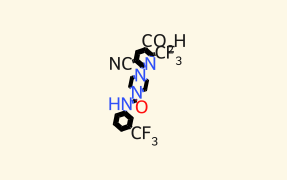 N#Cc1cc(C(=O)O)c(C(F)(F)F)nc1N1CCN(C(=O)Nc2cccc(C(F)(F)F)c2)CC1